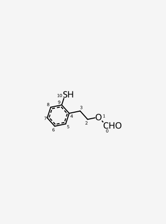 O=COCCc1ccccc1S